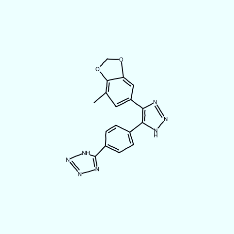 Cc1cc(-c2nn[nH]c2-c2ccc(-c3nnn[nH]3)cc2)cc2c1OCO2